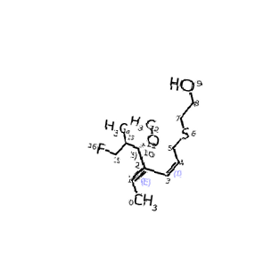 C/C=C(\C=C/CSCCO)[C@@H](OC)C(C)CF